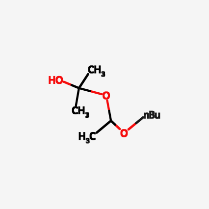 CCCCOC(C)OC(C)(C)O